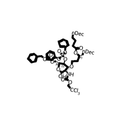 CCCCCCCCCCCCCC(=O)O[C@H](CCCCCCCCCCC)CCO[C@@H]1[C@@H](NC(=O)OCC(Cl)(Cl)Cl)[C@@H](O)O[C@H](COC(=O)OCc2ccccc2)[C@H]1OP(=O)(Oc1ccccc1)Oc1ccccc1